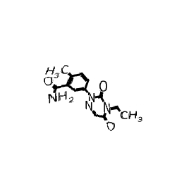 CCn1c(=O)cnn(-c2ccc(C)c(C(N)=O)c2)c1=O